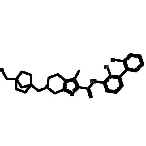 C=C(Nc1cccc(-c2ccccc2Cl)c1Cl)c1nc2c(n1C)CCN(CC13CCC(CO)(CC1)C3)C2